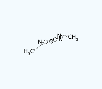 CCCCCCCC[C@]1(C#N)CC[C@H](COc2ccc(-c3ncc(CCCC)cn3)cc2)CC1